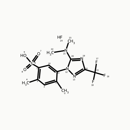 Cc1cc(C)c(S(=O)(=O)O)cc1-n1nc(C(F)(F)F)nc1N(C)C.F